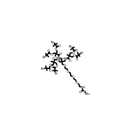 CC(C)(C)OC(=O)NCCOCCOCCOCCOCC(CNC(=O)C(C)(COC(=O)C(C)(C)Br)COC(=O)C(C)(C)Br)(CNC(=O)C(C)(COC(=O)C(C)(C)Br)COC(=O)C(C)(C)Br)CNC(=O)C(C)(COC(=O)C(C)(C)Br)COC(=O)C(C)(C)Br